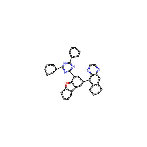 c1ccc(-c2nc(-c3ccccc3)nc(-c3cc(-c4c5ccccc5cc5nccnc45)cc4c3oc3ccccc34)n2)cc1